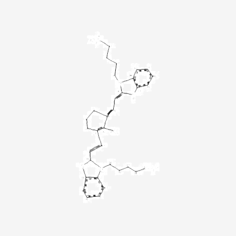 O=S(=O)(O)CCCCN1/C(=C/C=C2\CCCC(/C=C/C3Sc4ccccc4N3CCCCS(=O)(=O)O)=C2Cl)Sc2ccccc21